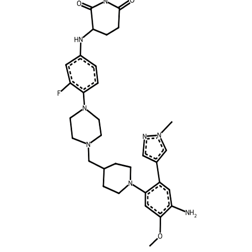 COc1cc(N2CCC(CN3CCN(c4ccc(NC5CCC(=O)NC5=O)cc4F)CC3)CC2)c(-c2cnn(C)c2)cc1N